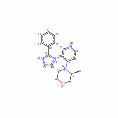 C[C@H]1COCCN1c1ccncc1-n1ccnc1-c1ccccc1